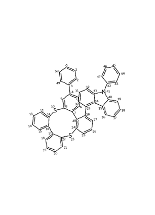 c1ccc(-c2ccc3c(c2)Sc2ccccc2-c2ccccc2Sc2cccc(-c4cccc5c4c4ccccc4n5-c4ccccc4)c2-3)cc1